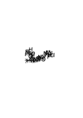 O=C(NCc1ncn2ccc(Cl)c(F)c12)c1cn(Cc2cn3cc(C4CC4)cc(CS(=O)(=O)NCC(F)(F)F)c3n2)nn1